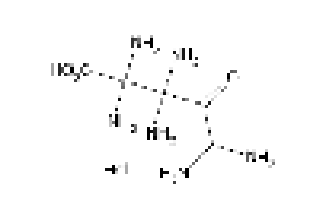 Cl.NC(N)C(=O)C(N)(N)C(N)(N)C(=O)O